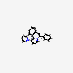 C(=Cc1cccc(-c2ccccn2)c1-c1ccccn1)c1ccccc1